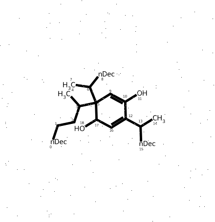 CCCCCCCCCCCCC(C)C1(C(C)CCCCCCCCCC)C=C(O)C(C(C)CCCCCCCCCC)=CC1O